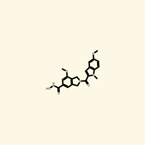 COc1ccc2c(c1)cc(C(=O)N1Cc3cc(C(=O)NO)cc(OC)c3C1)n2C